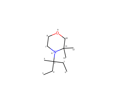 CCC(C)(CC)N1CCOCC1(C)C